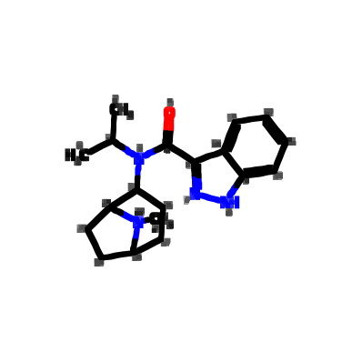 CC(C)N(C(=O)c1n[nH]c2ccccc12)C1CCC2CCC1N2C